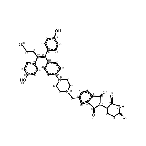 O=C1CCC(N2C(=O)c3ccc(CN4CCN(c5ccc(C(=C(CCCl)c6ccc(O)cc6)c6ccc(O)cc6)cc5)CC4)cc3C2=O)C(=O)N1